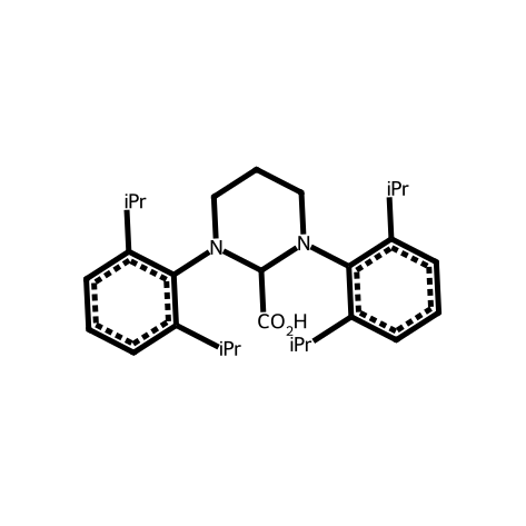 CC(C)c1cccc(C(C)C)c1N1CCCN(c2c(C(C)C)cccc2C(C)C)C1C(=O)O